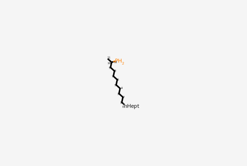 CCCCCCCCCCCCCCCCC(C)P